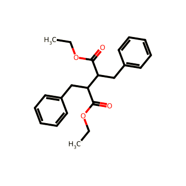 CCOC(=O)C(Cc1ccccc1)C(Cc1ccccc1)C(=O)OCC